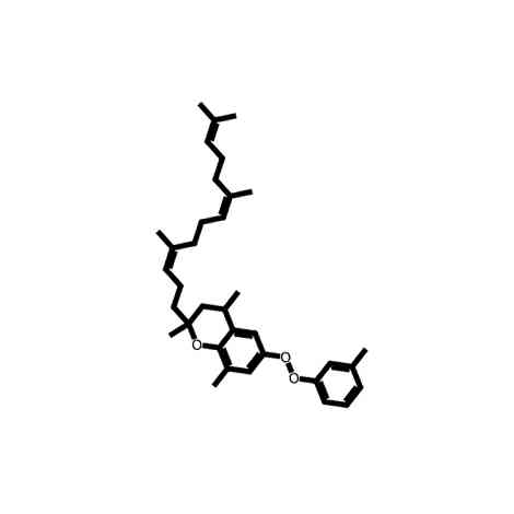 CC(C)=CCCC(C)=CCCC(C)=CCCC1(C)CC(C)c2cc(OOc3cccc(C)c3)cc(C)c2O1